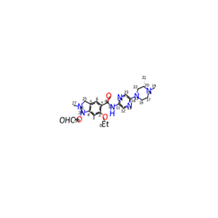 CCOc1cc2c(cc1C(=O)Nc1cnc(N3CCN(C)[C@@H](C)C3)cn1)CN(C)N2OC=O